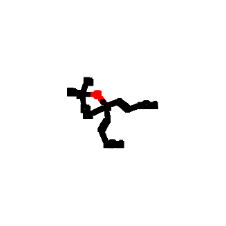 CCCCCCCCC=C[Si](C=CCCCCCCCC)(CC)O[Si](CC)(CC)CC